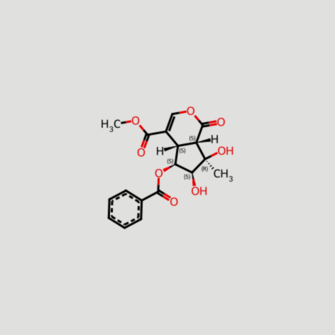 COC(=O)C1=COC(=O)[C@H]2[C@@H]1[C@H](OC(=O)c1ccccc1)[C@H](O)[C@]2(C)O